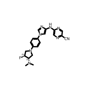 CN(C)[C@H]1CN(c2ccc(-n3cnc(Nc4cnc(C#N)cn4)c3)cc2)C[C@@H]1F